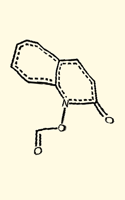 O=COn1c(=O)ccc2ccccc21